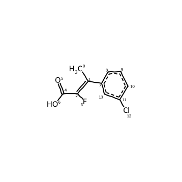 CC(=C(F)C(=O)O)c1cccc(Cl)c1